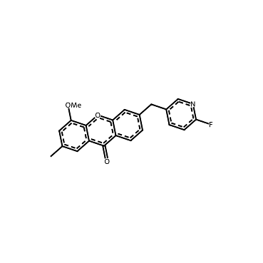 COc1cc(C)cc2c(=O)c3ccc(Cc4ccc(F)nc4)cc3oc12